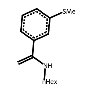 C=C(NCCCCCC)c1cccc(SC)c1